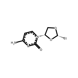 CC[C@H]1OC[C@@H](n2ccc(N)nc2=O)O1